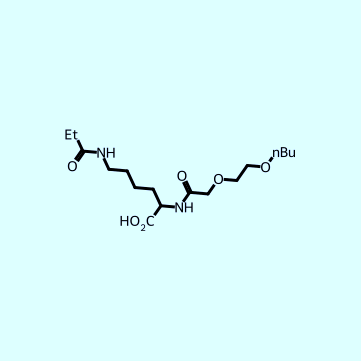 CCCCOCCOCC(=O)NC(CCCCNC(=O)CC)C(=O)O